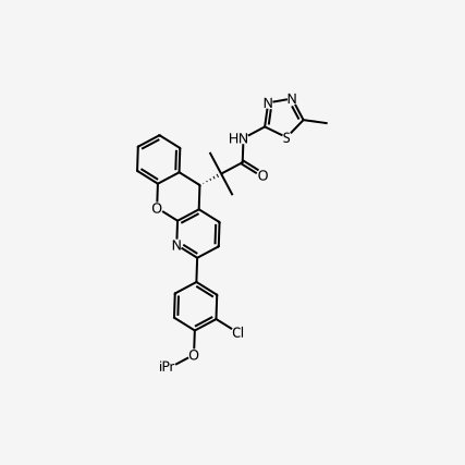 Cc1nnc(NC(=O)C(C)(C)[C@H]2c3ccccc3Oc3nc(-c4ccc(OC(C)C)c(Cl)c4)ccc32)s1